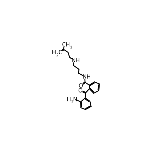 C=C(C)CCNCCCNC(=O)c1ccccc1C(=O)c1ccccc1N